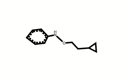 c1ccc(NOCCC2CC2)cc1